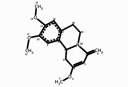 C=C1C=C(OC)CC2c3cc(OC)c(OC)cc3CCN12